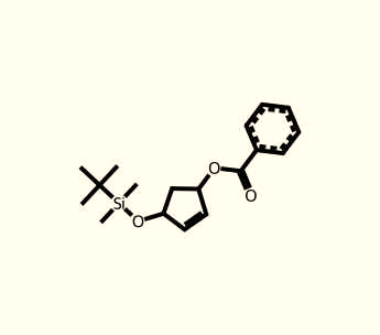 CC(C)(C)[Si](C)(C)OC1C=CC(OC(=O)c2ccccc2)C1